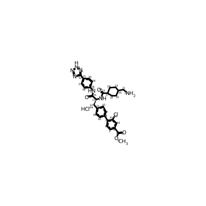 COC(=O)c1ccc(-c2ccc(C[C@H](NC(=O)C3CCC(CN)CC3)C(=O)Nc3ccc(-c4nn[nH]n4)cc3)cc2)c(Cl)c1.Cl